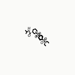 CCN(CC)S(=O)(=O)c1ccc(S(=O)(=O)N2CCC[C@@H](C(=O)NC(C)C)C2)cc1